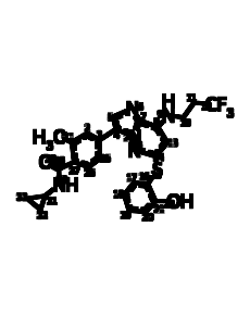 Cc1cc(-c2cnc3c(NCCC(F)(F)F)cc(Sc4ccccc4O)nn23)ccc1C(=O)NC1CC1